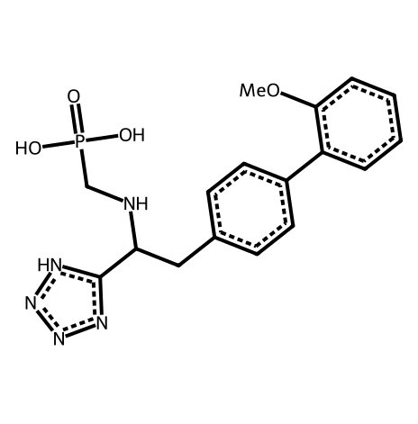 COc1ccccc1-c1ccc(CC(NCP(=O)(O)O)c2nnn[nH]2)cc1